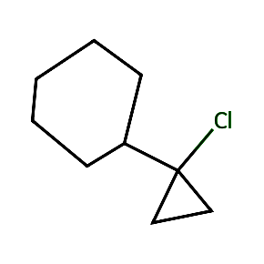 ClC1(C2CCCCC2)CC1